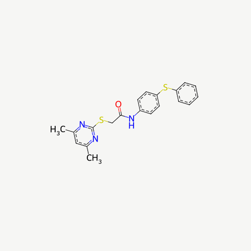 Cc1cc(C)nc(SCC(=O)Nc2ccc(Sc3ccccc3)cc2)n1